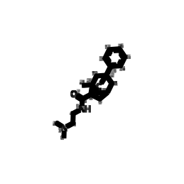 CN(C)CCNC(=O)C12CC3CC(c4ccccc4)(CC1(C)C3)C2